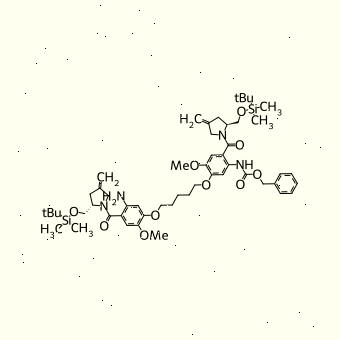 C=C1C[C@@H](CO[Si](C)(C)C(C)(C)C)N(C(=O)c2cc(OC)c(OCCCCCOc3cc(NC(=O)OCc4ccccc4)c(C(=O)N4CC(=C)C[C@H]4CO[Si](C)(C)C(C)(C)C)cc3OC)cc2N)C1